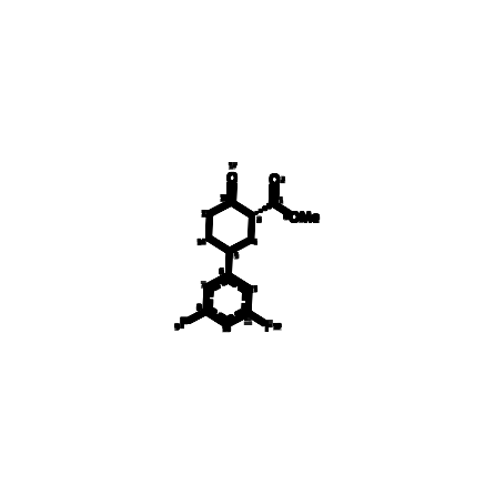 COC(=O)[C@@H]1CC(c2cc(F)cc(F)c2)CCC1=O